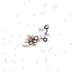 CCN1C[C@]2(OC(=O)c3ccccc3NC(=O)/C=C/c3cnccc3C)CC[C@H](OC)[C@]34C1[C@@H](C[C@H]23)[C@@]1(O)C[C@H](OC)[C@H]2C[C@@H]4[C@]1(O)[C@H]2OC